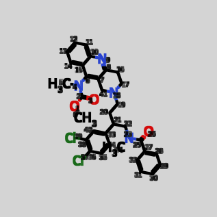 COC(=O)N(C)c1c2c(nc3ccccc13)CCN(CCC(CN(C)C(=O)c1ccccc1)c1ccc(Cl)c(Cl)c1)C2